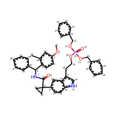 COc1ccc(C(NC(=O)C2(c3ccc4[nH]cc(CCOP(=O)(OCc5ccccc5)OCc5ccccc5)c4c3)CC2)c2ccccc2)c(C)c1